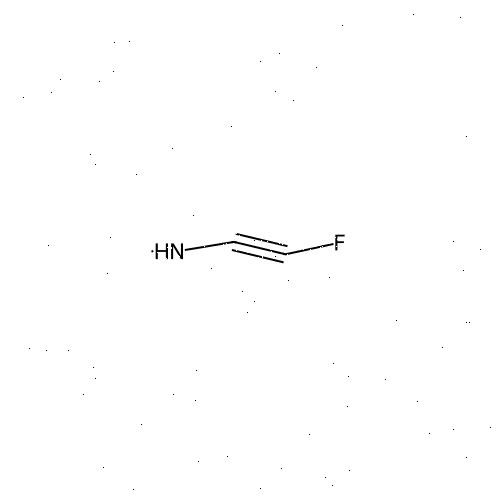 [NH]C#CF